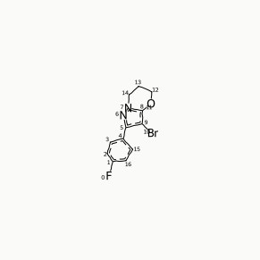 Fc1ccc(-c2nn3c(c2Br)OCCC3)cc1